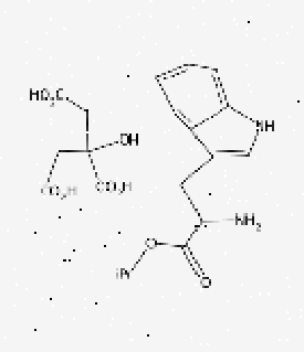 CC(C)OC(=O)C(N)Cc1c[nH]c2ccccc12.O=C(O)CC(O)(CC(=O)O)C(=O)O